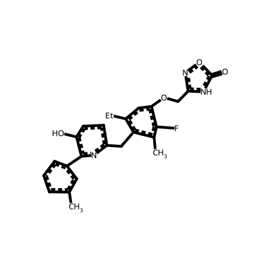 CCc1cc(OCc2noc(=O)[nH]2)c(F)c(C)c1Cc1ccc(O)c(-c2cccc(C)c2)n1